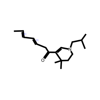 C/C=C/C=C/CC(=O)C1=CN(CC(C)C)CCC1(C)C